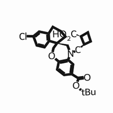 CC(C)(C)OC(=O)c1ccc2c(c1)N(C[C@@H]1CC[C@H]1C(=O)O)C[C@@]1(CCCc3cc(Cl)ccc31)CO2